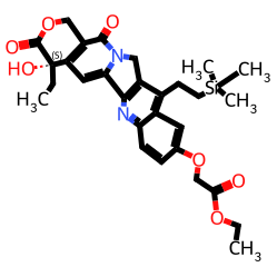 CCOC(=O)COc1ccc2nc3c(c(CC[Si](C)(C)C)c2c1)Cn1c-3cc2c(c1=O)COC(=O)[C@]2(O)CC